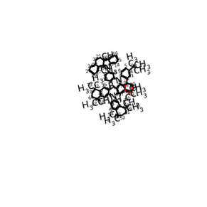 CC(C)(C)c1ccc(N2c3cc(N4c5ccccc5C5(C)CCc6ccccc6C45C)ccc3B3c4cc5c(cc4N(c4ccc6c(c4)C(C)(C)CCC6(C)C)c4cc(C(C)(C)C)cc2c43)C(C)(C)CCC5(C)C)c(-c2ccccc2)c1